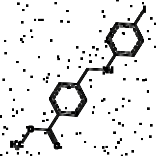 COC(=O)c1ccc(CNc2ccc(I)cc2)cc1